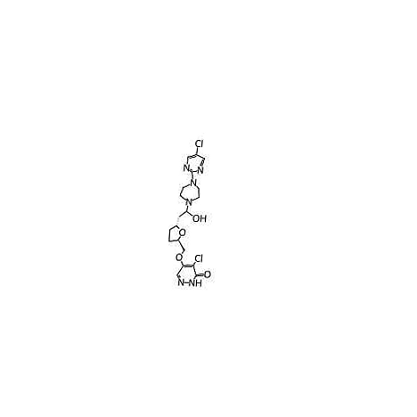 O=c1[nH]ncc(OC[C@H]2CC[C@H](CC(O)N3CCN(c4ncc(Cl)cn4)CC3)O2)c1Cl